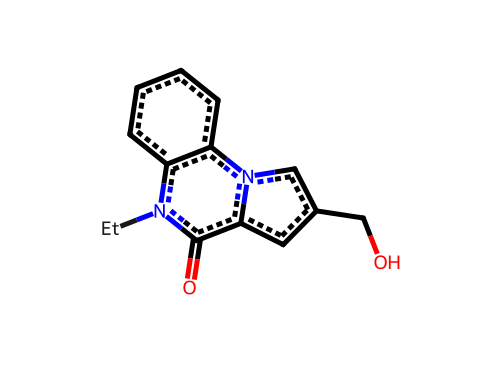 CCn1c(=O)c2cc(CO)cn2c2ccccc21